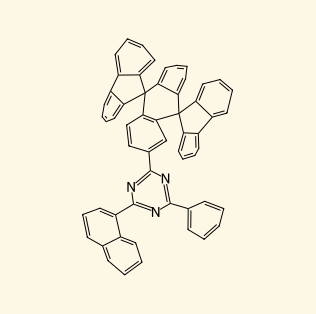 c1ccc(-c2nc(-c3ccc4c(c3)C3(c5ccccc5-c5ccccc53)c3ccccc3C43c4ccccc4-c4ccccc43)nc(-c3cccc4ccccc34)n2)cc1